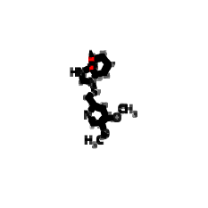 COc1cnc(CSN2CNC34OCOC3=CC=CC24)cc1OC